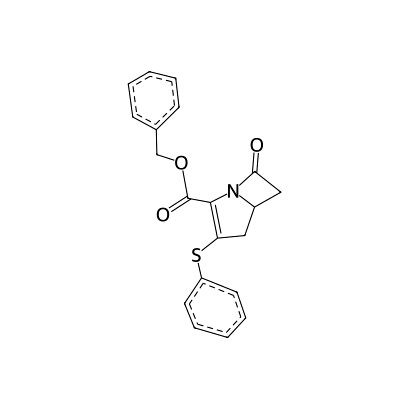 O=C(OCc1ccccc1)C1=C(Sc2ccccc2)CC2CC(=O)N12